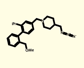 COCc1ccccc1-c1ccc(CN2CCC(CN=[N+]=[N-])CC2)cc1C(C)C